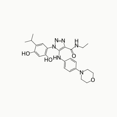 CCNC(=O)c1nnn(-c2cc(C(C)C)c(O)cc2O)c1Nc1ccc(N2CCOCC2)cc1